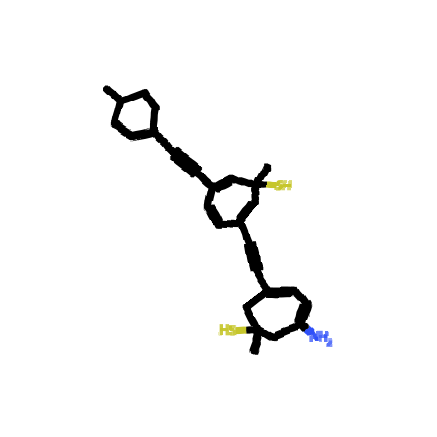 CC1CCC(C#CC2=CC(C)(S)C=C(C#CC3=CC=C(N)CC(C)(S)C3)C=C2)CC1